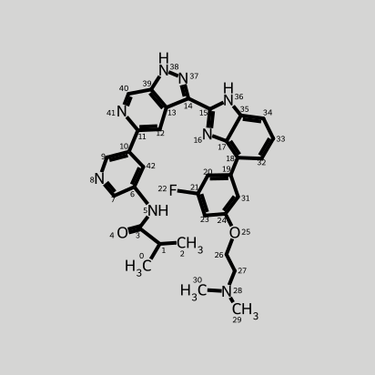 CC(C)C(=O)Nc1cncc(-c2cc3c(-c4nc5c(-c6cc(F)cc(OCCN(C)C)c6)cccc5[nH]4)n[nH]c3cn2)c1